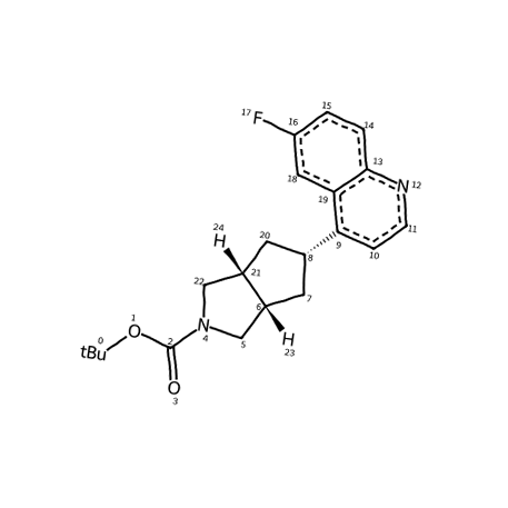 CC(C)(C)OC(=O)N1C[C@H]2C[C@@H](c3ccnc4ccc(F)cc34)C[C@H]2C1